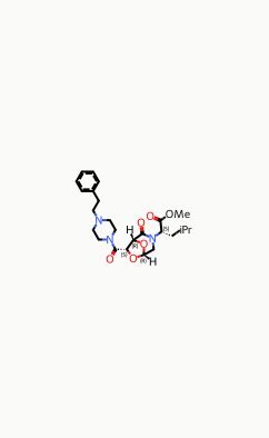 COC(=O)[C@H](CC(C)C)N1C[C@@H]2O[C@H](C(=O)N3CCN(CCc4ccccc4)CC3)[C@@H](O2)C1=O